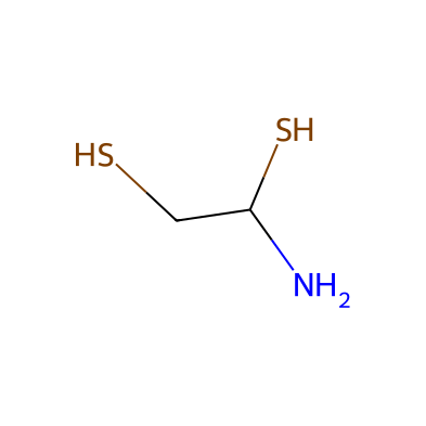 NC(S)CS